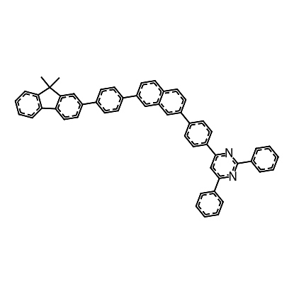 CC1(C)c2ccccc2-c2ccc(-c3ccc(-c4ccc5ccc(-c6ccc(-c7cc(-c8ccccc8)nc(-c8ccccc8)n7)cc6)cc5c4)cc3)cc21